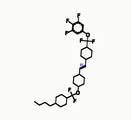 CCCCC1CCC(C(F)(F)OC2CCC(/C=C/C3CCC(C(F)(F)Oc4cc(F)c(F)c(F)c4)CC3)CC2)CC1